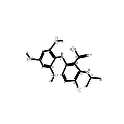 CNc1cc(NC)c(Nc2ccc(Br)c(OC(C)C)c2C(N)=O)c(NC)c1